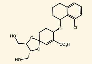 O=C(O)C1=CC2(CC[C@H]1SC1CCCc3cccc(Cl)c31)O[C@H](CO)[C@@H](CO)O2